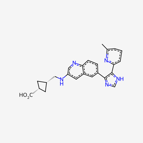 Cc1cccc(-c2[nH]cnc2-c2ccc3ncc(NC[C@H]4C[C@@H](C(=O)O)C4)cc3c2)n1